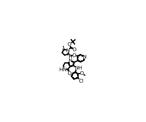 COc1c(Cl)cccc1Nc1c(-c2ccncc2OC[C@H]2CC[C@@H](C)N2C(=O)OC(C)(C)C)[nH]c2c1C(=O)NCC2